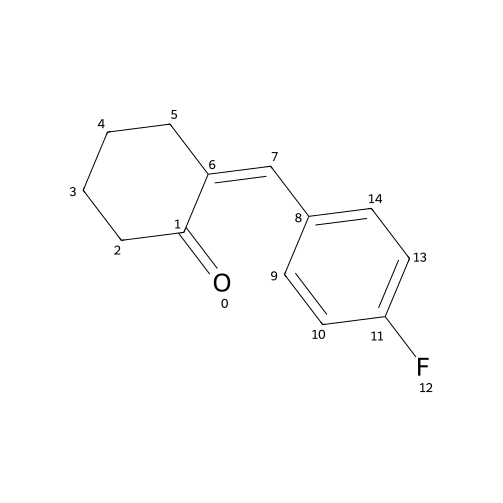 O=C1CCCC/C1=C/c1ccc(F)cc1